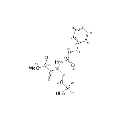 C=C([C@@H](CO[Si](C)(C)C(C)(C)C)NC(=O)OCc1ccccc1)N(C)OC